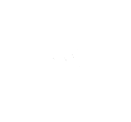 CN(C)C1CC2CCC(C1)N2C